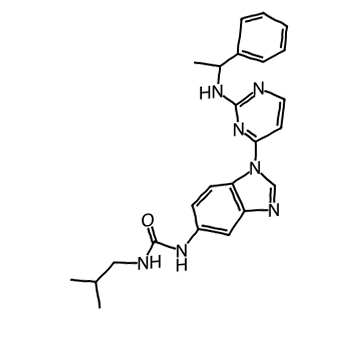 CC(C)CNC(=O)Nc1ccc2c(c1)ncn2-c1ccnc(NC(C)c2ccccc2)n1